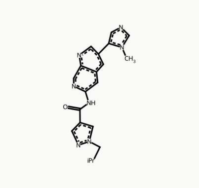 CC(C)Cn1cc(C(=O)Nc2cc3cc(-c4cncn4C)cnc3cn2)cn1